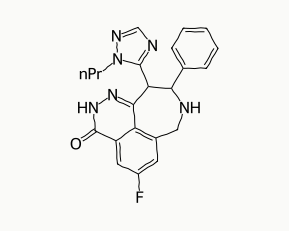 CCCn1ncnc1C1c2n[nH]c(=O)c3cc(F)cc(c23)CNC1c1ccccc1